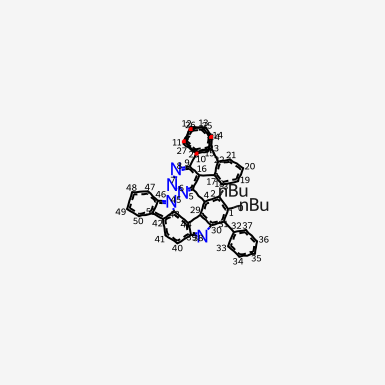 CCCCc1c(CCCC)c(-c2nnnc(-c3ccccc3)c2-c2ccccc2-c2ccccc2)c2c(c1-c1ccccc1)N=c1ccc3c(c1-2)N=c1ccccc1=3